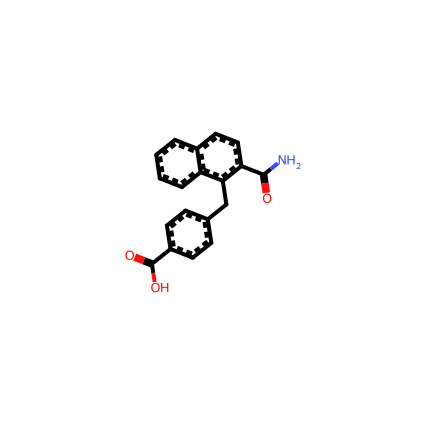 NC(=O)c1ccc2ccccc2c1Cc1ccc(C(=O)O)cc1